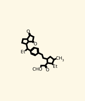 CCC(c1ccc(CCC2CC(C)C(CC)C2C(=O)CC=O)cc1)C1CCC2C(=O)CC(=O)C21